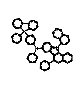 c1ccc(-c2cc3ccccc3c3c2c2cc(N(c4ccccc4)c4ccc(C5(c6ccccc6)c6ccccc6-c6ccccc65)cc4)ccc2n3-c2cccc3ccccc23)cc1